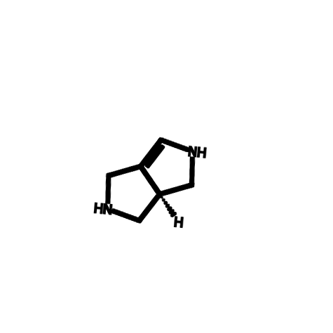 C1=C2CNC[C@@H]2CN1